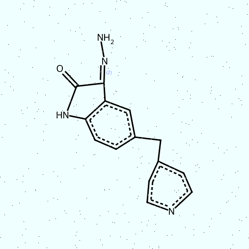 N/N=C1\C(=O)Nc2ccc(Cc3ccncc3)cc21